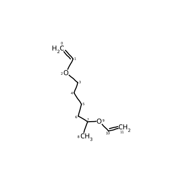 C=COCCCCC(C)OC=C